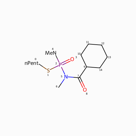 CCCCCSP(=O)(NC)N(C)C(=O)C1CCCCC1